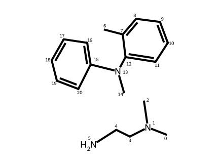 CN(C)CCN.Cc1ccccc1N(C)c1ccccc1